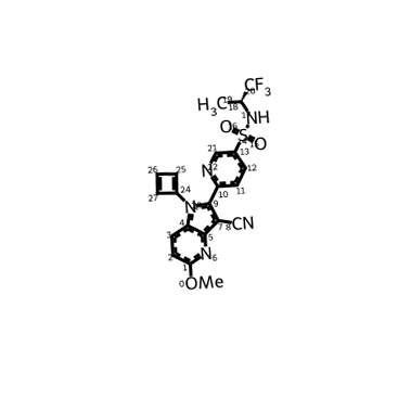 COc1ccc2c(n1)c(C#N)c(-c1ccc(S(=O)(=O)N[C@@H](C)C(F)(F)F)cn1)n2C1=CC=C1